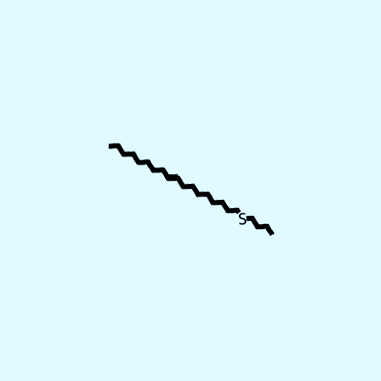 CCCCCCCCC=CCCCCCCCCSCCCC